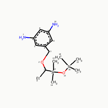 CCC(OCc1cc(N)cc(N)c1)[Si](C)(C)O[Si](C)(C)C